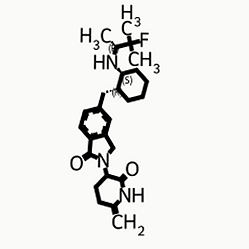 C=C1CCC(N2Cc3cc(C[C@H]4CCCC[C@@H]4N[C@H](C)C(C)(C)F)ccc3C2=O)C(=O)N1